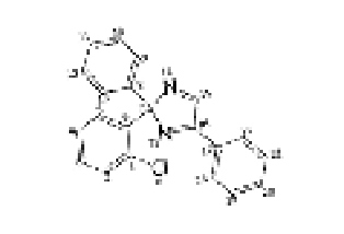 Clc1ccccc1C1(c2ccccc2)N=CC(c2ccccc2)=N1